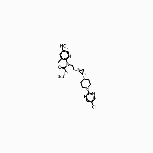 Cc1cc([N+](=O)[O-])cnc1N(CC[C@@H]1C[C@@H]1C1CCN(c2ncc(Cl)cn2)CC1)C(=O)OC(C)(C)C